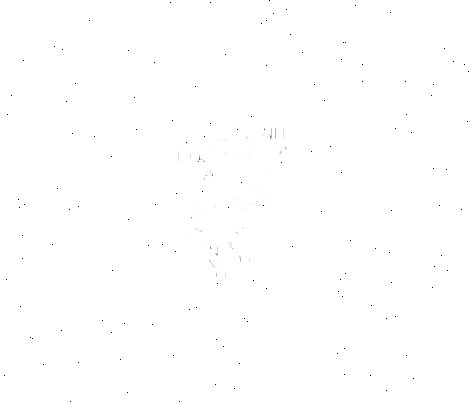 CC(=O)N1C(=O)/C(=C/c2ccc(/C=C3/C(=O)Nc4ccc(C(=O)O)cc43)o2)c2ccccc21